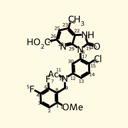 COc1ccc(F)c(F)c1CN(C(C)=O)c1ccc(Cl)c(-n2c(=O)[nH]c3c(C)cc(C(=O)O)nc32)c1